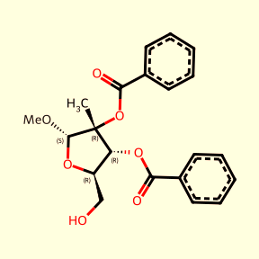 CO[C@H]1O[C@H](CO)[C@@H](OC(=O)c2ccccc2)[C@@]1(C)OC(=O)c1ccccc1